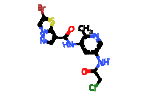 Cc1ncc(NC(=O)CCl)cc1NC(=O)c1cnn2cc(Br)sc12